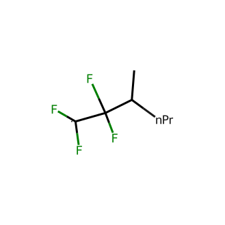 [CH2]CCC(C)C(F)(F)[C](F)F